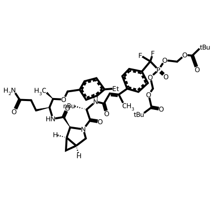 CCCC[C@H](NC(=O)/C=C(\C)c1ccc(C(F)(F)P(=O)(OCOC(=O)C(C)(C)C)OCOC(=O)C(C)(C)C)cc1)C(=O)N1C[C@H]2C[C@H]2[C@H]1C(=O)N[C@@H](CCC(N)=O)[C@@H](C)OCc1ccc(CC)cc1